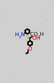 C=CCOc1ccc(C(Sc2ccccc2N)C(O)C(=O)O)cc1